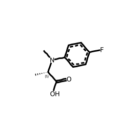 C[C@@H](C(=O)O)N(C)c1ccc(F)cc1